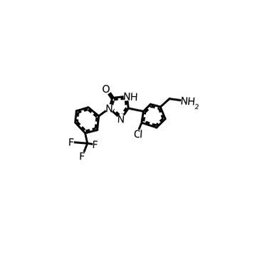 NCc1ccc(Cl)c(-c2nn(-c3cccc(C(F)(F)F)c3)c(=O)[nH]2)c1